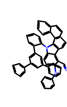 N=Cc1c(Nc2ccccc2)ccc2c1c1ccc3ccc4ccccc4c3c1n2-c1ccccc1-c1cc(-c2ccccc2)cc(-c2ccccc2)c1